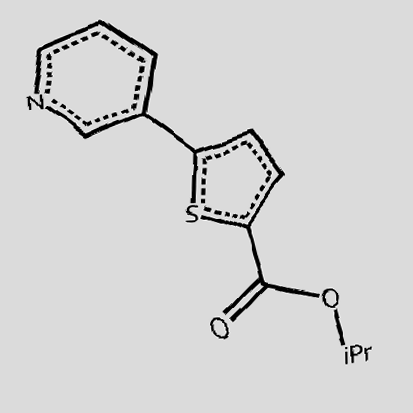 CC(C)OC(=O)c1ccc(-c2cccnc2)s1